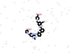 Cc1nc(Nc2cccc(-c3cccc(-c4nc5cc(CN6CCC(C(=O)O)CC6)cc(C#N)c5o4)c3C)c2C)c2ncc(CN3CC[C@@](C)(O)C3)cc2n1